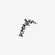 COc1ccc(-c2nc(NC(=O)c3ccc(N4CCC(C(=O)O)CC4)nc3)sc2C#N)cc1